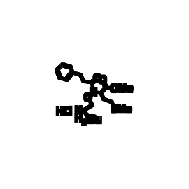 CCC(C)C(N)CON(C(=O)CCc1ccccc1)C(CCSC)C(=O)OC.Cl